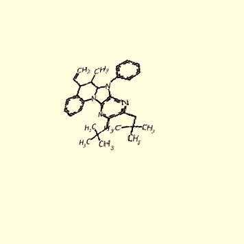 C=CC1c2ccccc2N2c3nc(CC(C)(C)C)c(CC(C)(C)C)nc3N(c3ccccc3)C2C1C